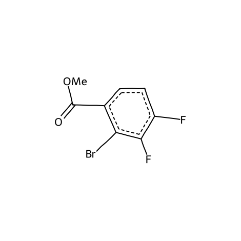 COC(=O)c1ccc(F)c(F)c1Br